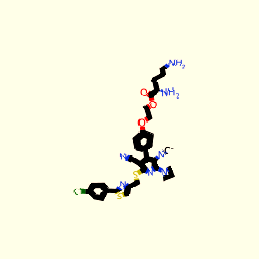 [C-]#[N+]c1c(N2CCC2)nc(SCc2csc(-c3ccc(Cl)cc3)n2)c(C#N)c1-c1ccc(OCCOC(=O)[C@@H](N)CCCN)cc1